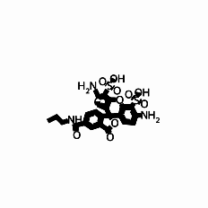 CCCNC(=O)c1ccc2c(c1)C(=O)OC21c2ccc(N)c(S(=O)(=O)O)c2Oc2c1ccc(N)c2S(=O)(=O)O